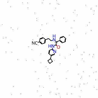 N#Cc1ccc(CCN[C@@H](C(=O)Nc2ccc(C3CCC3)cn2)c2ccccc2)cc1